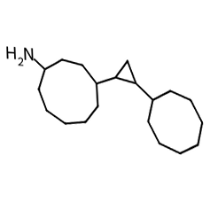 NC1CCCCCC(C2CC2C2CCCCCCC2)CC1